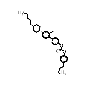 CCCCC[C@H]1CC[C@H](c2ccc(-c3ccc(OC(=O)Oc4ccc(CCC)cc4)cc3)c(F)c2)CC1